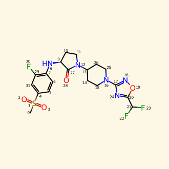 CS(=O)(=O)c1ccc(N[C@H]2CCN(C3CCN(c4noc(C(F)F)n4)CC3)C2=O)c(F)c1